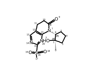 C[C@@]1(O)CCC[C@H]1N1C(=O)CCc2cnc(S(C)(=O)=O)nc21